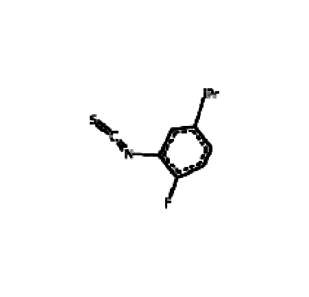 CC(C)c1ccc(F)c(N=C=S)c1